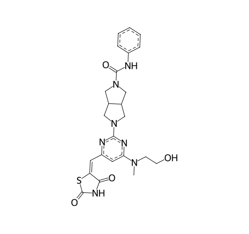 CN(CCO)c1cc(/C=C2/SC(=O)NC2=O)nc(N2CC3CN(C(=O)Nc4ccccc4)CC3C2)n1